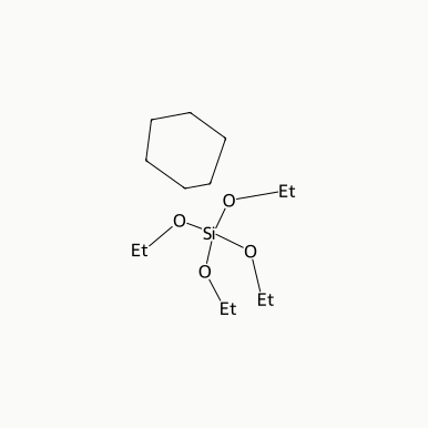 C1CCCCC1.CCO[Si](OCC)(OCC)OCC